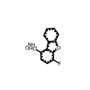 N.O=Cc1ccc(F)c2oc3ccccc3c12